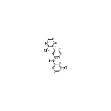 Clc1cccc(Nc2nccc(-c3cccnc3Cl)n2)c1